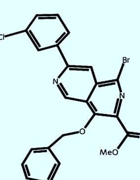 COC(=O)c1nc(Br)c2cc(-c3cccc(Cl)c3)ncc2c1OCc1ccccc1